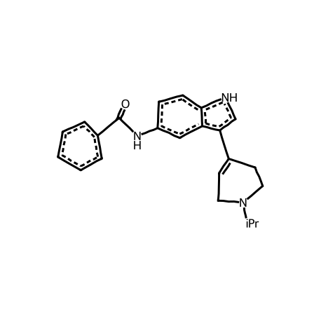 CC(C)N1CC=C(c2c[nH]c3ccc(NC(=O)c4ccccc4)cc23)CC1